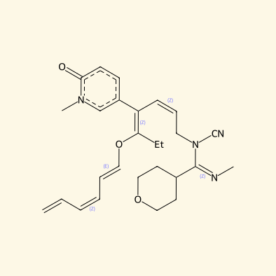 C=C/C=C\C=C\O/C(CC)=C(/C=C\CN(C#N)/C(=N\C)C1CCOCC1)c1ccc(=O)n(C)c1